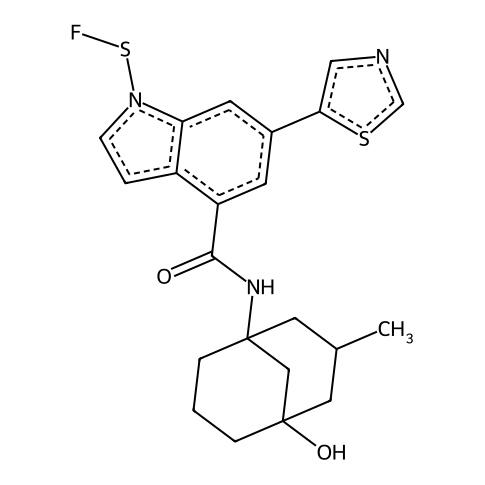 CC1CC2(O)CCCC(NC(=O)c3cc(-c4cncs4)cc4c3ccn4SF)(C1)C2